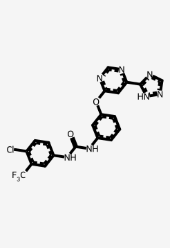 O=C(Nc1cccc(Oc2cc(-c3ncn[nH]3)ncn2)c1)Nc1ccc(Cl)c(C(F)(F)F)c1